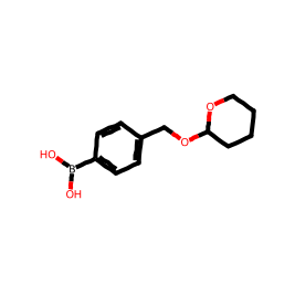 OB(O)c1ccc(COC2CCCCO2)cc1